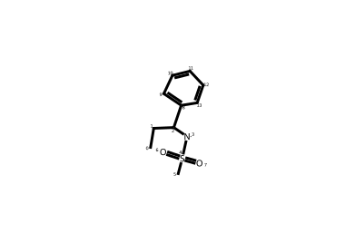 CCC([N]S(C)(=O)=O)c1ccccc1